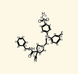 CS(=O)(=O)c1ccc(N(CCN2CCC(C#N)(C(=O)NCc3ccccc3)CC2)c2cccc(F)c2)cc1